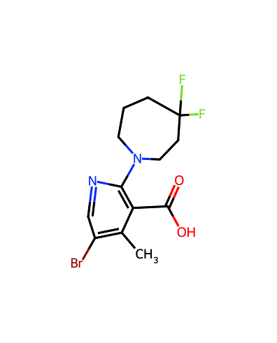 Cc1c(Br)cnc(N2CCCC(F)(F)CC2)c1C(=O)O